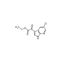 CCOC(=O)C(=O)c1c[nH]c2ncc(Cl)cc12